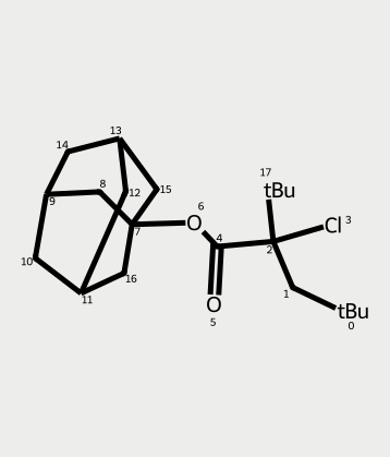 CC(C)(C)CC(Cl)(C(=O)OC12CC3CC(CC(C3)C1)C2)C(C)(C)C